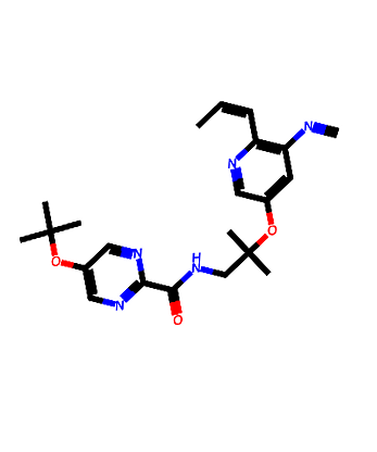 C=Nc1cc(OC(C)(C)CNC(=O)c2ncc(OC(C)(C)C)cn2)cnc1/C=C\C